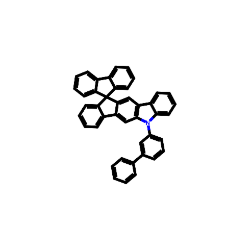 c1ccc(-c2cccc(-n3c4ccccc4c4cc5c(cc43)-c3ccccc3C53c4ccccc4-c4ccccc43)c2)cc1